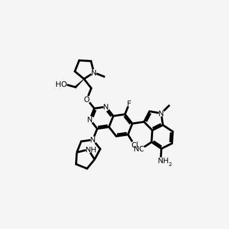 CN1CCC[C@@]1(CO)COc1nc(N2CC3CCC(C2)N3)c2cc(Cl)c(-c3cn(C)c4ccc(N)c(C#N)c34)c(F)c2n1